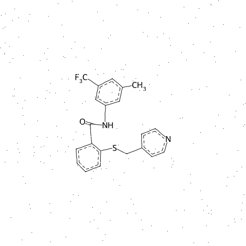 Cc1cc(NC(=O)c2ccccc2SCc2ccncc2)cc(C(F)(F)F)c1